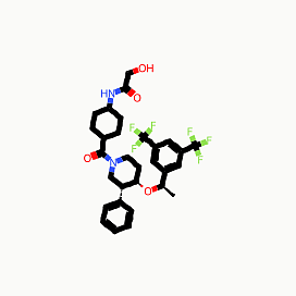 C[C@@H](O[C@H]1CCN(C(=O)C2CCC(NC(=O)CO)CC2)C[C@H]1c1ccccc1)c1cc(C(F)(F)F)cc(C(F)(F)F)c1